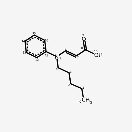 CCCCCN(C=CC(=O)O)c1ccccc1